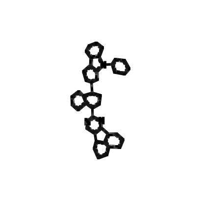 c1ccc(-n2c3ccccc3c3ccc(-c4ccc(-c5ncc6c(n5)-c5cccc7cccc-6c57)c5ccccc45)cc32)cc1